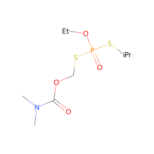 CCOP(=O)(SCOC(=O)N(C)C)SC(C)C